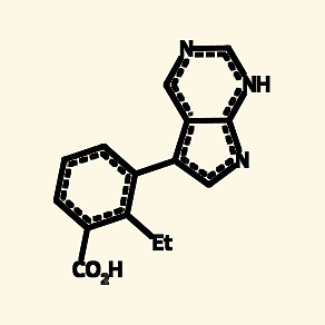 CCc1c(C(=O)O)cccc1-c1cnc2[nH]cncc1-2